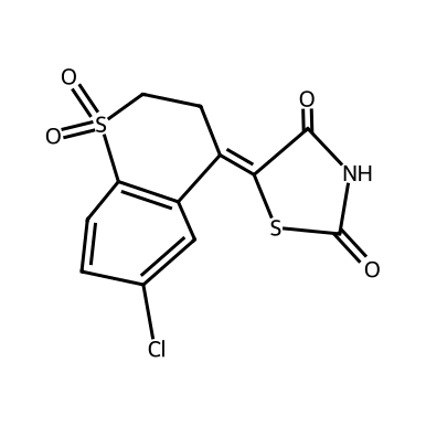 O=C1NC(=O)C(=C2CCS(=O)(=O)c3ccc(Cl)cc32)S1